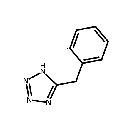 [c]1ccccc1Cc1nnn[nH]1